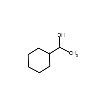 CC(O)[C]1CCCCC1